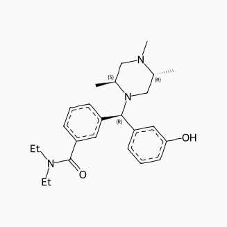 CCN(CC)C(=O)c1cccc([C@H](c2cccc(O)c2)N2C[C@@H](C)N(C)C[C@@H]2C)c1